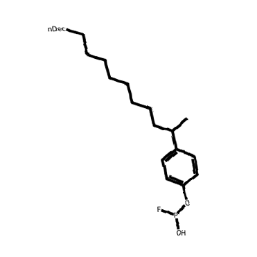 CCCCCCCCCCCCCCCCCCC(C)c1ccc(OP(O)F)cc1